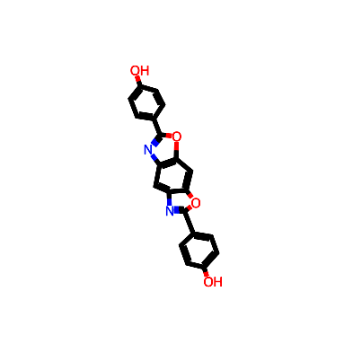 Oc1ccc(-c2nc3cc4nc(-c5ccc(O)cc5)oc4cc3o2)cc1